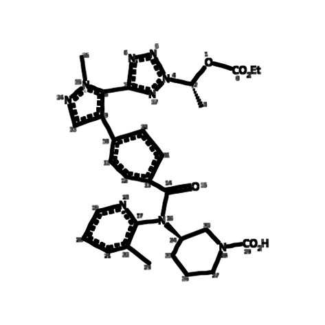 CCOC(=O)O[C@H](C)n1nnc(-c2c(-c3ccc(C(=O)N(c4ncccc4C)[C@@H]4CCCN(C(=O)O)C4)cc3)cnn2C)n1